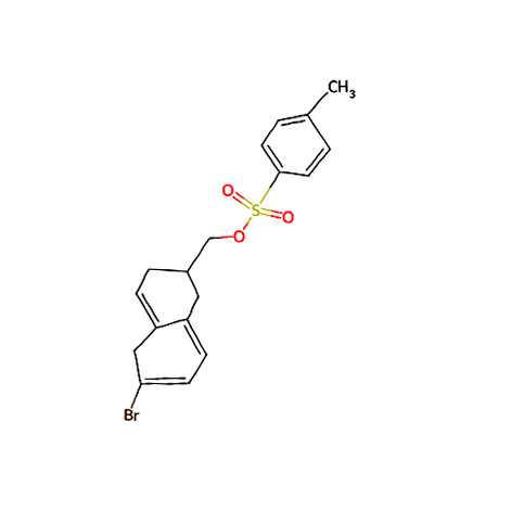 Cc1ccc(S(=O)(=O)OCC2CC=C3CC(Br)=CC=C3C2)cc1